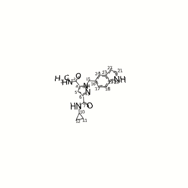 CNC(=O)c1cc(C(=O)NC2CC2)nn1Cc1ccc2[nH]ccc2c1